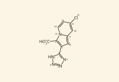 O=C(O)c1c(-c2nnn[nH]2)nc2cc(Cl)ccn12